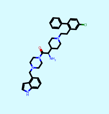 N[C@@H](C(=O)N1CCN(Cc2cccc3[nH]ccc23)CC1)C1CCN(CCc2cc(Cl)ccc2-c2ccccc2)CC1